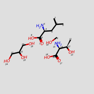 CC(C)C[C@H](N)C(=O)O.CO.C[C@@H](O)[C@H](N)C(=O)O.OCC(O)CO